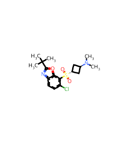 CN(C)[C@H]1C[C@H](S(=O)(=O)c2c(Cl)ccc3nc(C(C)(C)C)oc23)C1